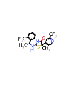 C[C@H](NC1=NC(=O)C(C)(c2ccnc(C(F)(F)F)c2)S1)c1ccccc1C(F)(F)F